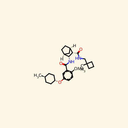 COc1ccc(O[C@H]2CC[C@H](C)CC2)cc1C(=O)N[C@@H]1[C@H]2CC[C@H](C2)[C@@H]1C(=O)NCC1(C)CCC1